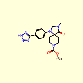 CN1CN(c2ccc(-c3nn[nH]n3)cc2)C2(CCN(C(=O)OC(C)(C)C)CC2)C1=O